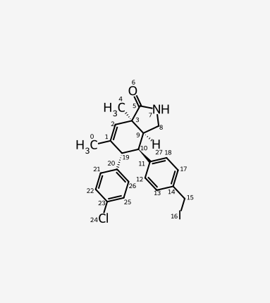 CC1=C[C@@]2(C)C(=O)NC[C@H]2[C@@H](c2ccc(CI)cc2)[C@@H]1c1ccc(Cl)cc1